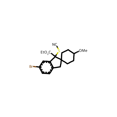 CCOC(=O)C1(SC#N)c2cc(Br)ccc2CC12CCC(OC)CC2